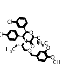 CC[C@@H](COCc1ccc(OC)c(OC)c1)N1C(=O)[C@@H](C)O[C@H](c2cccc(Cl)c2)[C@@H]1c1ccc(Cl)cc1